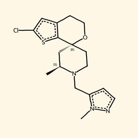 C[C@H]1C[C@@]2(CCN1Cc1ccnn1C)OCCc1cc(Cl)sc12